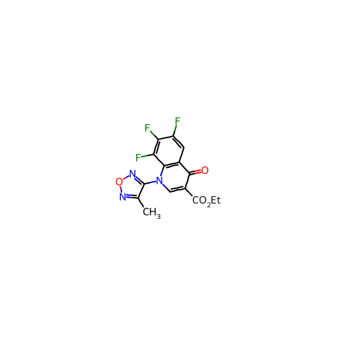 CCOC(=O)c1cn(-c2nonc2C)c2c(F)c(F)c(F)cc2c1=O